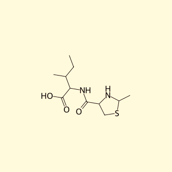 CCC(C)C(NC(=O)C1CSC(C)N1)C(=O)O